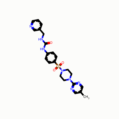 Cc1cnc(N2CCN(S(=O)(=O)c3ccc(NC(=O)NCc4cccnc4)cc3)CC2)nc1